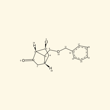 O=C1C[C@H]2C[C@H](Cl)[C@@H]1C2COCc1ccccc1